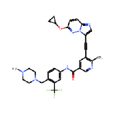 Cc1ncc(C(=O)Nc2ccc(CN3CCN(C)CC3)c(C(F)(F)F)c2)cc1C#Cc1cnc2ccc(OC3CC3)nn12